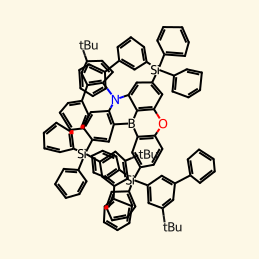 CC(C)(C)c1cc(-c2ccccc2)cc([Si](c2ccccc2)(c2ccccc2)c2ccc3c(c2)B2c4cc([Si](c5ccccc5)(c5ccccc5)c5cc(-c6ccccc6)cc(C(C)(C)C)c5)ccc4N(c4ccc(C(C)(C)C)cc4-c4ccccc4)c4cc([Si](c5ccccc5)(c5ccccc5)c5cccc(-c6ccccc6)c5)cc(c42)O3)c1